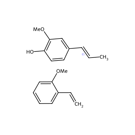 C/C=C/c1ccc(O)c(OC)c1.C=Cc1ccccc1OC